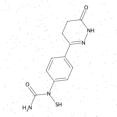 NC(=O)N(S)c1ccc(C2=NNC(=O)CC2)cc1